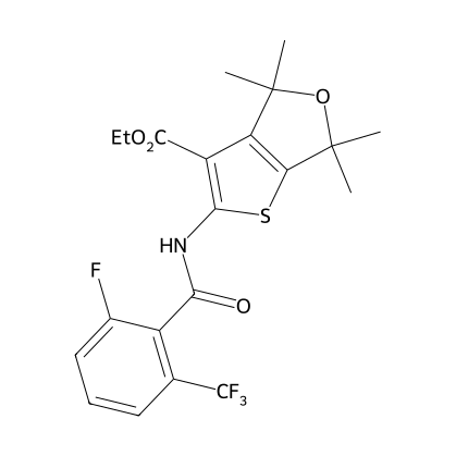 CCOC(=O)c1c(NC(=O)c2c(F)cccc2C(F)(F)F)sc2c1C(C)(C)OC2(C)C